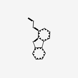 C=CC=c1cccc2c1=Cc1ccccc1-2